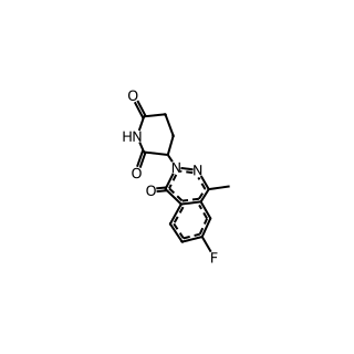 Cc1nn(C2CCC(=O)NC2=O)c(=O)c2ccc(F)cc12